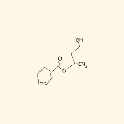 C[C@@H](CCO)OC(=O)c1ccccc1